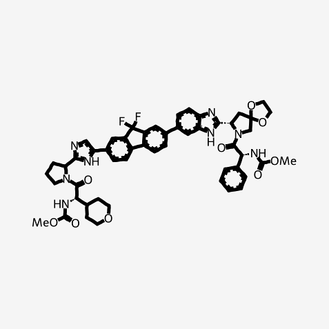 COC(=O)N[C@H](C(=O)N1CCCC1c1ncc(-c2ccc3c(c2)C(F)(F)c2cc(-c4ccc5nc([C@@H]6CC7(CN6C(=O)[C@H](NC(=O)OC)c6ccccc6)OCCO7)[nH]c5c4)ccc2-3)[nH]1)C1CCOCC1